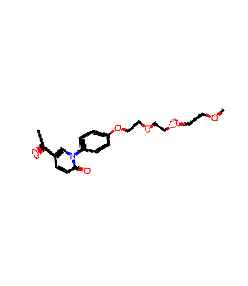 COCCOCCOCCOc1ccc(-n2cc(C(C)=O)ccc2=O)cc1